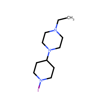 CCN1CCN(C2CCN(I)CC2)CC1